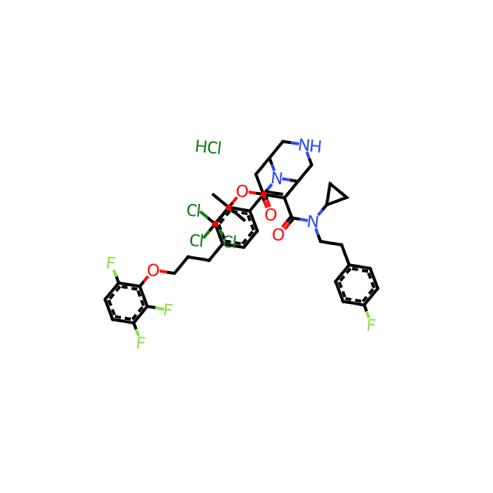 CC(C)(OC(=O)N1C2CNCC1C(C(=O)N(CCc1ccc(F)cc1)C1CC1)=C(c1ccc(CCCOc3c(F)ccc(F)c3F)cc1)C2)C(Cl)(Cl)Cl.Cl